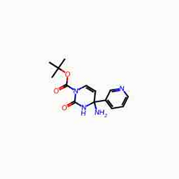 CC(C)(C)OC(=O)N1C=CC(N)(c2cccnc2)NC1=O